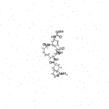 COC(=O)Nc1ccc2c(c1)NC(=O)CC/C=C/C[C@H](NC(=O)C1CCc3c(ccnc3N)C1)c1nc-2c(Cl)[nH]1